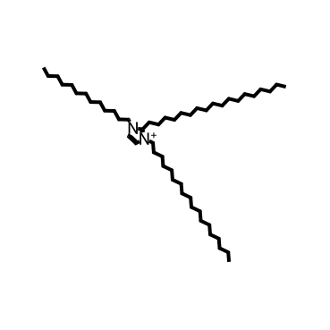 CCCCCCCCCCCCCCCCCCc1n(CCCCCCCCCCCCC)cc[n+]1CCCCCCCCCCCCCCCCCC